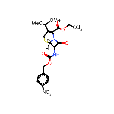 COC(OC)C1=C(C(=O)OCC(Cl)(Cl)Cl)N2C(=O)C(NC(=O)OCc3ccc([N+](=O)[O-])cc3)[C@@H]2SC1